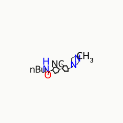 CCCCNC(=O)c1ccc(-c2ccc(CN3CCCN(C)CC3)cc2C#N)cc1